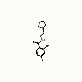 Cc1ccc(C(=O)NCCN2CCCC2)c(Br)c1